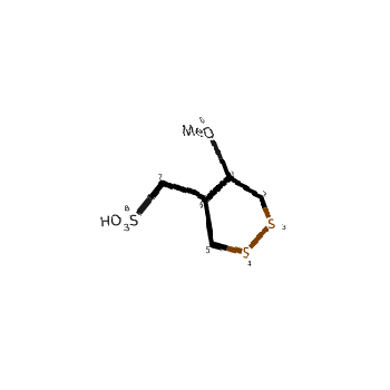 COC1CSSCC1CS(=O)(=O)O